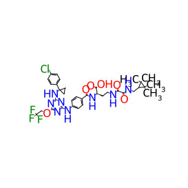 CC1(C)C(CNC(=O)C(=O)NCC[C@@H](NC(=O)c2ccc(Nc3nc(NC4(c5ccc(Cl)cc5)CC4)nc(OCC(F)(F)F)n3)cc2)C(=O)O)C1(C)C